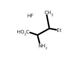 CCC(C)C(N)C(=O)O.F